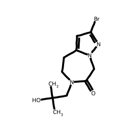 CC(C)(O)CN1CCc2cc(Br)nn2CC1=O